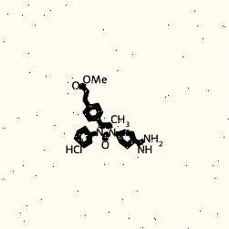 COC(=O)CCc1ccc(-c2c(C)n(-c3ccc(C(=N)N)cc3)c(=O)n2-c2ccccc2)cc1.Cl